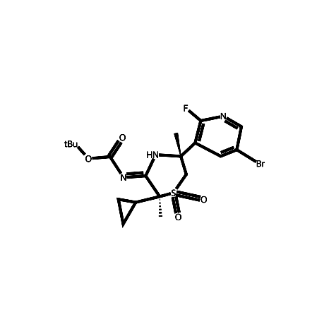 CC(C)(C)OC(=O)/N=C1\N[C@](C)(c2cc(Br)cnc2F)CS(=O)(=O)[C@@]1(C)C1CC1